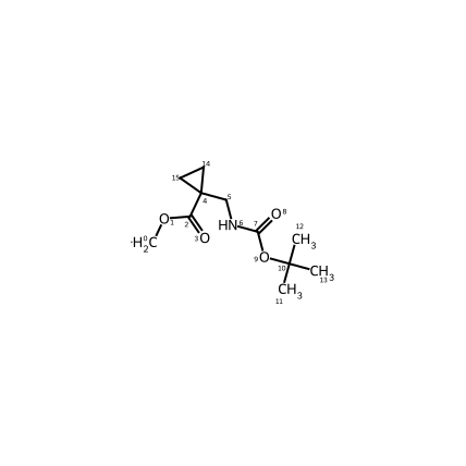 [CH2]OC(=O)C1(CNC(=O)OC(C)(C)C)CC1